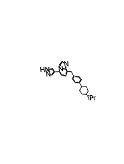 CC(C)C1CCC(c2ccc(Cc3ccc(-c4cn[nH]c4)n4ccnc34)cc2)CC1